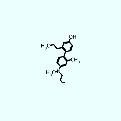 CCCc1cc(O)ccc1-c1ccc(N(C)CCF)cc1C